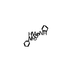 c1ccc([NH][Mo][S][S][Mo][NH]c2ccccc2)cc1